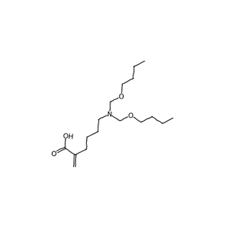 C=C(CCCCN(COCCCC)COCCCC)C(=O)O